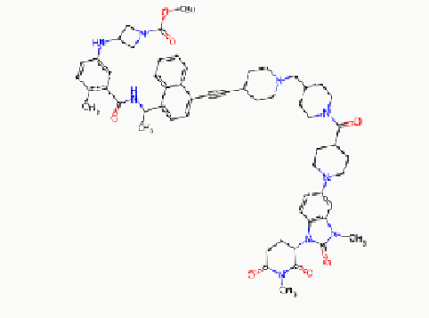 Cc1ccc(NC2CN(C(=O)OC(C)(C)C)C2)cc1C(=O)N[C@H](C)c1ccc(C#CC2CCN(CC3CCN(C(=O)C4CCN(c5ccc6c(c5)n(C)c(=O)n6C5CCC(=O)N(C)C5=O)CC4)CC3)CC2)c2ccccc12